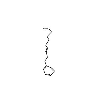 CCCCCCCCCCCCCC=CCCc1[c]cccc1